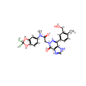 CCN(C(=O)Cn1nc(-c2ccc(C)c(CO)c2)c2[nH]cnc2c1=O)c1ccc2c(c1)OC(F)(F)O2